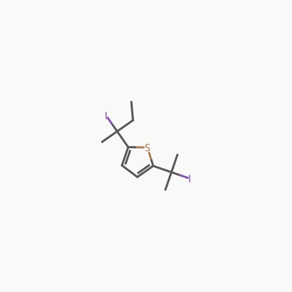 CCC(C)(I)c1ccc(C(C)(C)I)s1